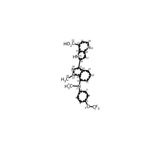 CN(c1ccc(OC(F)(F)F)cc1)c1cccc2c(-c3cc4nccc(C(=O)O)c4[nH]3)nn(C)c12